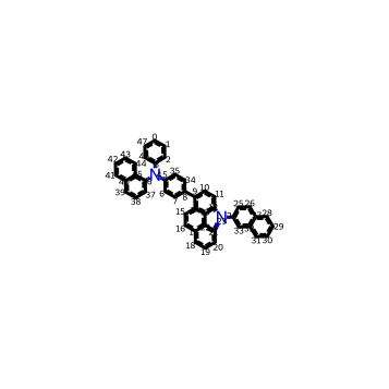 c1ccc(N(c2ccc(-c3ccc4c5c3ccc3cccc(c35)n4-c3ccc4ccccc4c3)cc2)c2cccc3ccccc23)cc1